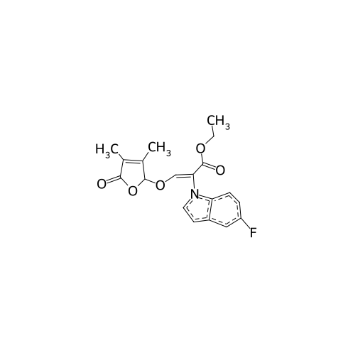 CCOC(=O)/C(=C/OC1OC(=O)C(C)=C1C)n1ccc2cc(F)ccc21